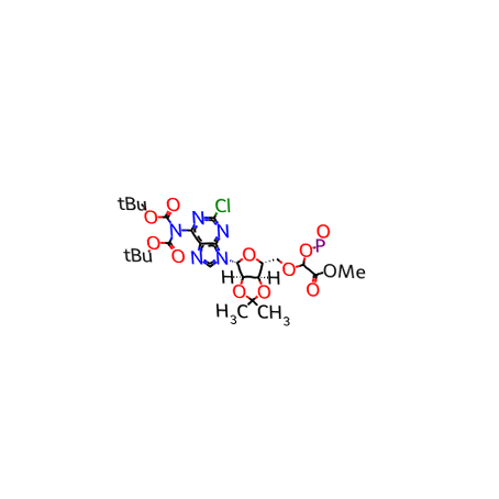 COC(=O)C(OC[C@H]1O[C@@H](n2cnc3c(N(C(=O)OC(C)(C)C)C(=O)OC(C)(C)C)nc(Cl)nc32)[C@@H]2OC(C)(C)O[C@@H]21)OP=O